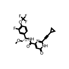 COC[C@@H](NC(=O)c1cc(=O)[nH]c(C#CC2CC2)n1)c1ccc(OC(F)(F)F)c(F)c1